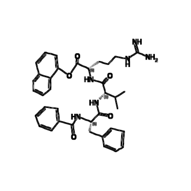 CC(C)[C@H](NC(=O)[C@H](Cc1ccccc1)NC(=O)c1ccccc1)C(=O)N[C@@H](CCCNC(=N)N)C(=O)Oc1cccc2ccccc12